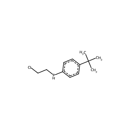 CC(C)(C)c1ccc(PCCCl)cc1